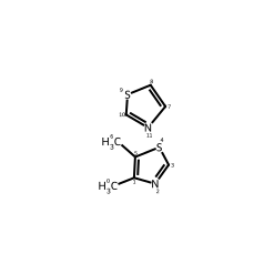 Cc1ncsc1C.c1cscn1